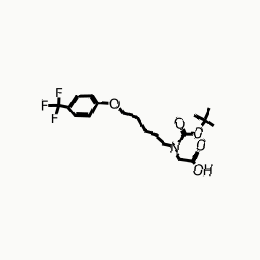 CC(C)(C)OC(=O)N(CCCCCOc1ccc(C(F)(F)F)cc1)CC(=O)O